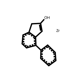 OC1=Cc2c(cccc2-c2ccccc2)C1.[Zr]